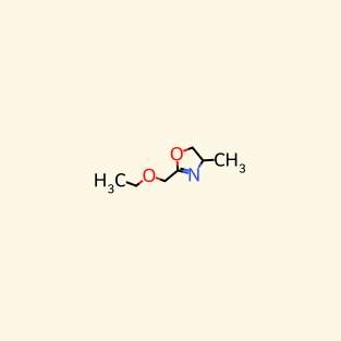 CCOCC1=NC(C)CO1